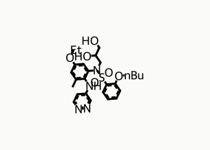 CCCCOc1ccccc1S(=O)(=O)N(CC(O)CO)c1cc(OCC)cc(C)c1Nc1ccnnc1